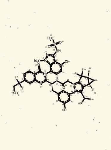 CCC(F)(F)c1ccc2c(=O)n(-c3ccc(Cl)c4c(NS(C)(=O)=O)nn(C)c34)c([C@H](Cc3cc(F)cc(F)c3)NC(=O)Cn3nc(C(F)F)c4c3C(F)(F)[C@@H]3C[C@H]43)nc2c1